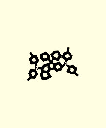 Cc1ccc(N(c2ccc(C)cc2)c2ccc3c(c2)C(c2ccccc2)(c2ccccc2)c2cc(N(c4ccc(C)cc4)c4ccc(C)cc4)c4ccccc4c2-3)cc1